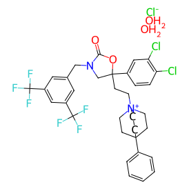 O.O.O=C1OC(CC[N+]23CCC(c4ccccc4)(CC2)CC3)(c2ccc(Cl)c(Cl)c2)CN1Cc1cc(C(F)(F)F)cc(C(F)(F)F)c1.[Cl-]